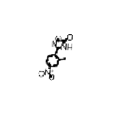 Cc1cc([N+](=O)[O-])ccc1-c1noc(=O)[nH]1